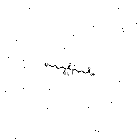 NCCCC[C@H](N)C(=O)NCCCCC(=O)O